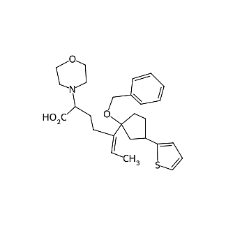 CC=C(CCC(C(=O)O)N1CCOCC1)C1(OCc2ccccc2)CCC(c2cccs2)C1